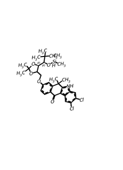 C[SiH](C)O[C@@H]([C@@H]1OC(C)(C)OC1COc1ccc2c(c1)C(C)(C)c1[nH]c3cc(Cl)c(Cl)cc3c1C2=O)C(C)(C)C